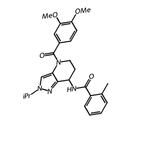 COc1ccc(C(=O)N2CCC(NC(=O)c3ccccc3C)c3nn(C(C)C)cc32)cc1OC